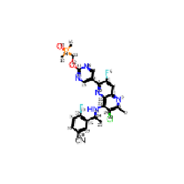 Cc1nc2cc(F)c(-c3cnc(OCP(C)(C)=O)nc3)nc2c(NC(C)c2cc(C#N)ccc2F)c1Cl